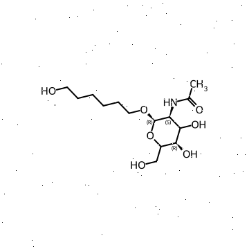 CC(=O)N[C@H]1C(O)[C@@H](O)C(CO)O[C@H]1OCCCCCCO